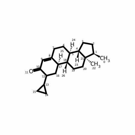 C[C@@H]1CC[C@H]2[C@@H]3CCC4=CC(=O)C(C5CC5)C[C@@H]4[C@H]3CC[C@]12C